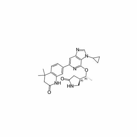 C[C@@H](Oc1nc(-c2ccc3c(c2)NC(=O)CC3(C)C)cc2ncn(C3CC3)c12)[C@H]1CNC(=O)C1